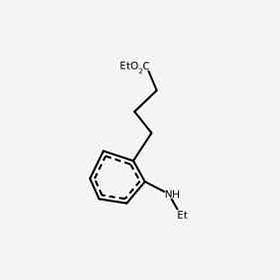 CCNc1ccccc1CCCC(=O)OCC